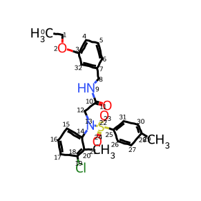 CCOc1cccc(CNC(=O)CN(c2cccc(Cl)c2C)S(=O)(=O)c2ccc(C)cc2)c1